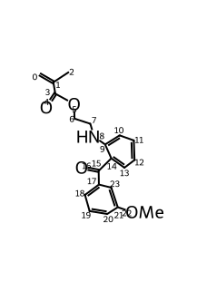 C=C(C)C(=O)OCCNc1ccccc1C(=O)c1cccc(OC)c1